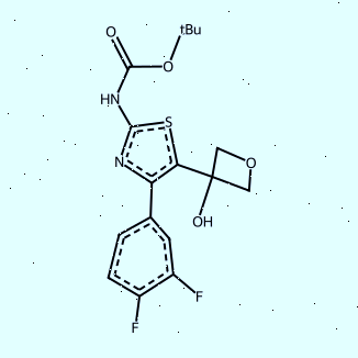 CC(C)(C)OC(=O)Nc1nc(-c2ccc(F)c(F)c2)c(C2(O)COC2)s1